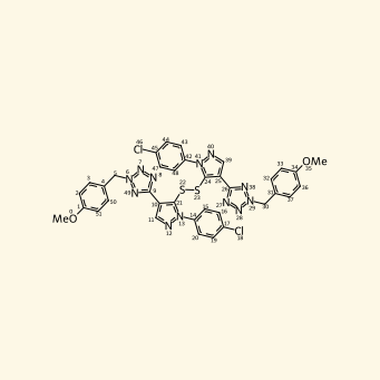 COc1ccc(Cn2nnc(-c3cnn(-c4ccc(Cl)cc4)c3SSc3c(-c4nnn(Cc5ccc(OC)cc5)n4)cnn3-c3ccc(Cl)cc3)n2)cc1